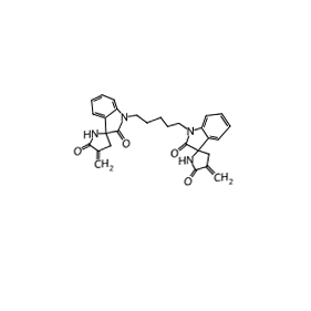 C=C1CC2(NC1=O)C(=O)N(CCCCCN1C(=O)C3(CC(=C)C(=O)N3)c3ccccc31)c1ccccc12